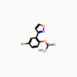 CC[C@H](Oc1ccc(Br)cc1-c1ccon1)C(=O)O